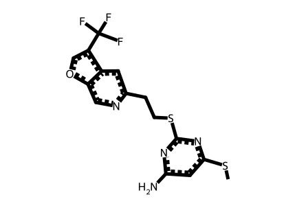 CSc1cc(N)nc(SCCc2cc3c(C(F)(F)F)coc3cn2)n1